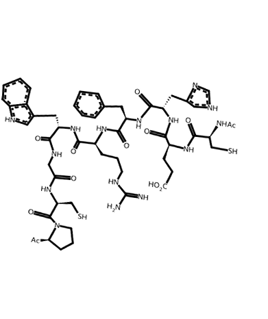 CC(=O)N[C@@H](CS)C(=O)N[C@@H](CCC(=O)O)C(=O)N[C@@H](Cc1c[nH]cn1)C(=O)N[C@H](Cc1ccccc1)C(=O)N[C@@H](CCCNC(=N)N)C(=O)N[C@@H](Cc1c[nH]c2ccccc12)C(=O)NCC(=O)N[C@@H](CS)C(=O)N1CCC[C@H]1C(C)=O